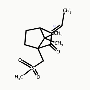 C/C=C1/C(=O)C2(CS(C)(=O)=O)CCC1C2(C)C